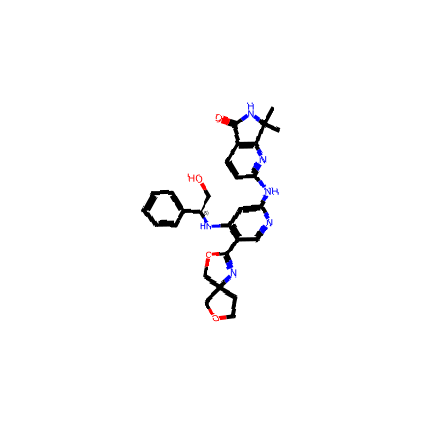 CC1(C)NC(=O)c2ccc(Nc3cc(N[C@H](CO)c4ccccc4)c(C4=NC5(CCOC5)CO4)cn3)nc21